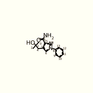 CC(C)(O)Cc1cn(-c2ccccc2)nc1C(N)=O